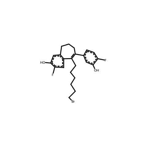 Oc1cc(C2=C(CCCCCCBr)c3cc(F)c(O)cc3CCC2)ccc1F